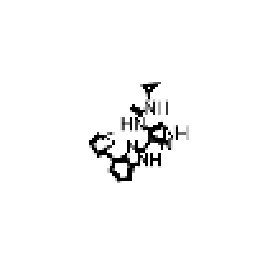 C=C(Nc1c[nH]nc1-c1nc2c(-c3cccs3)cccc2[nH]1)NC1CC1